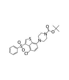 CC(C)(C)OC(=O)N1CCN(c2ccc(Cl)c3c(S(=O)(=O)c4ccccc4)csc23)CC1